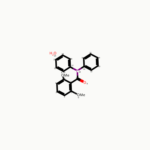 COc1cccc(OC)c1C(=O)P(c1ccccc1)c1ccccc1.O